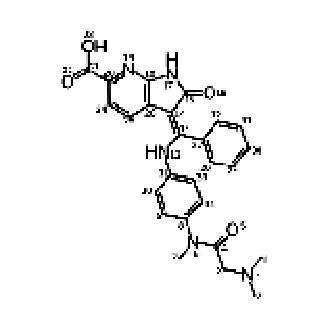 CN(C)CC(=O)N(C)c1ccc(NC(=C2C(=O)Nc3nc(C(=O)O)ccc32)c2ccccc2)cc1